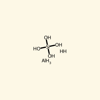 O[Si](O)(O)O.[AlH3].[HH]